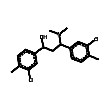 Cc1ccc(B(O)CC(c2ccc(C)c(Cl)c2)N(C)C)cc1Cl